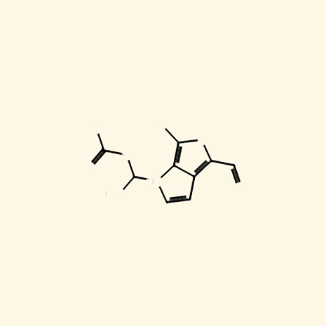 CC(=O)OC(C)[SH]1C=Cc2c(C=O)sc(Br)c21